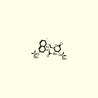 CC[C@H](C)C(=O)O[C@H]1C[C@H](O[Si](C)(C)C(C)(C)C)C=C2C=C[C@H](C)[C@H](CC[C@@H]3C[C@@H](O[Si](C)(C)C(C)(C)C)CC(=O)O3)[C@H]21